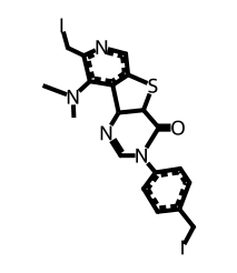 CN(C)c1c(CI)ncc2c1C1N=CN(c3ccc(CI)cc3)C(=O)C1S2